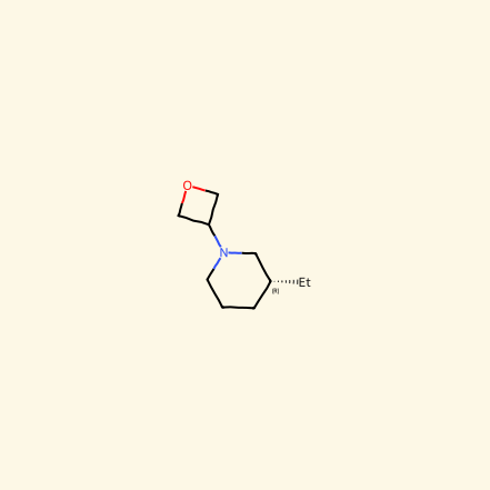 CC[C@@H]1CCCN(C2COC2)C1